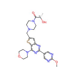 COc1ncc(-c2nc(N3CCOCC3)c3sc(CN4CCN(C(=O)[C@H](C)O)CC4)cc3n2)cn1